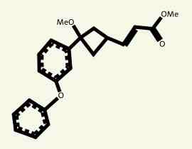 COC(=O)/C=C/C1CC(OC)(c2cccc(Oc3ccccc3)c2)C1